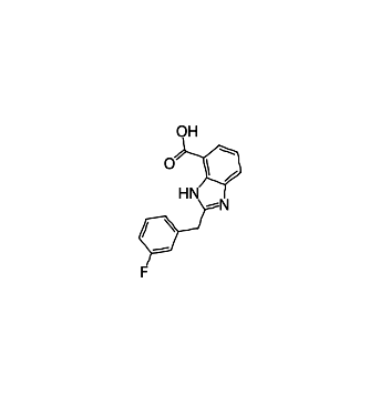 O=C(O)c1cccc2nc(Cc3cccc(F)c3)[nH]c12